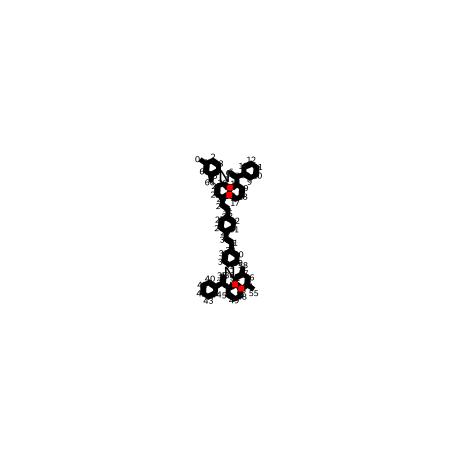 Cc1ccc(N(C=C(c2ccccc2)c2ccccc2)c2ccc(/C=C/c3ccc(/C=C/c4ccc(N(C=C(c5ccccc5)c5ccccc5)c5ccc(C)cc5C)cc4)cc3)cc2)c(C)c1